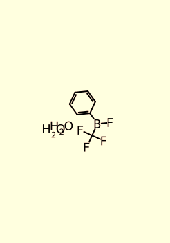 FB(c1ccccc1)C(F)(F)F.O.O